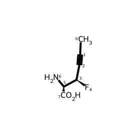 CC#C[C@@H](F)[C@H](N)C(=O)O